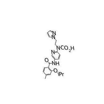 Cc1ccc(C(=O)Nc2ccc(N(CCn3cccn3)C(=O)O)nc2)c(OC(C)C)c1